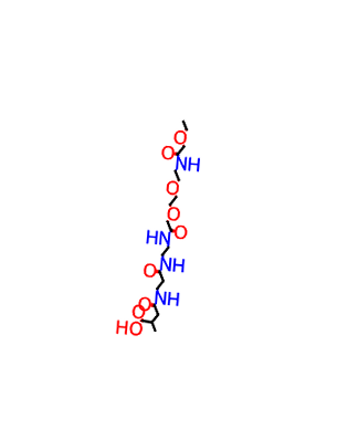 CCOCC(=O)NCCOCCOCC(=O)NCCNC(=O)CCNC(=O)CC(C)C(=O)O